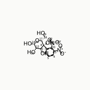 O=[N+]([O-])c1cccc([C@@]2(O)[C@H](O)[C@@H](O)[C@H](O)O[C@@H]2CO)c1[N+](=O)[O-]